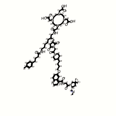 C/N=C/[C@H]1CC(F)(F)CN1C(=O)CNC(=O)c1ccnc2ccc(OCCCCC3CCN(C(=O)CN4C(=O)CC(SC(CCCCCNC(=O)CCCc5ccc(C)cc5)CNC(=O)CN5CCN(CC(=O)O)CCN(CC(=O)O)CCN(CC(=O)O)CC5)C4=O)CC3)cc12